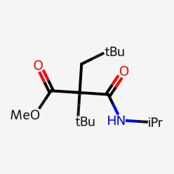 COC(=O)C(CC(C)(C)C)(C(=O)NC(C)C)C(C)(C)C